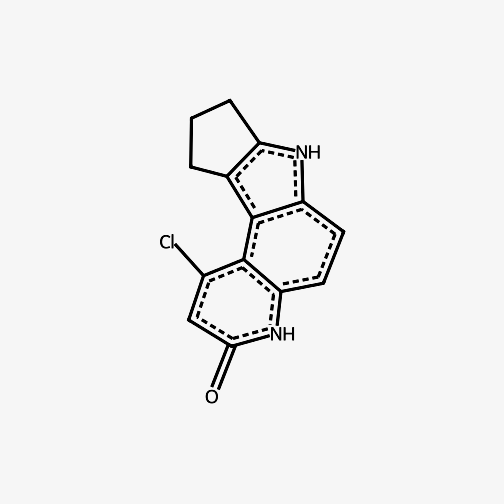 O=c1cc(Cl)c2c(ccc3[nH]c4c(c32)CCC4)[nH]1